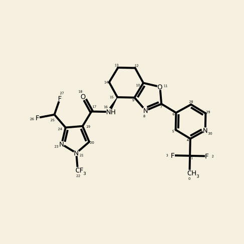 CC(F)(F)c1cc(-c2nc3c(o2)CCC[C@@H]3NC(=O)c2cn(C(F)(F)F)nc2C(F)F)ccn1